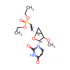 CCOP(=O)(/C=C/[C@]12CC1C(OC)[C@H](n1ccc(=O)[nH]c1=O)O2)OCC